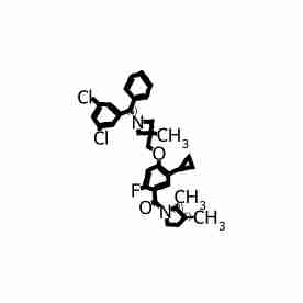 C[C@@H]1[C@@H](C)CCN1C(=O)c1cc(C2CC2)c(OCC2(C)CN([C@@H](c3ccccc3)c3cc(Cl)cc(Cl)c3)C2)cc1F